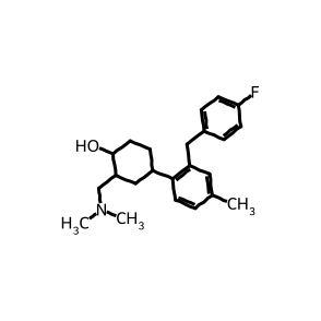 Cc1ccc(C2CCC(O)C(CN(C)C)C2)c(Cc2ccc(F)cc2)c1